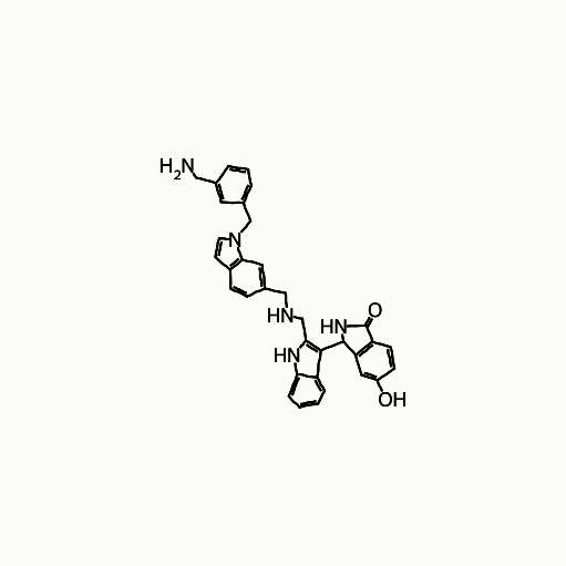 NCc1cccc(Cn2ccc3ccc(CNCc4[nH]c5ccccc5c4C4NC(=O)c5ccc(O)cc54)cc32)c1